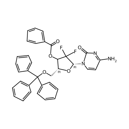 Nc1ccn([C@@H]2O[C@H](COC(c3ccccc3)(c3ccccc3)c3ccccc3)C(OC(=O)c3ccccc3)C2(F)F)c(=O)n1